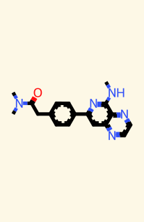 CNc1nc(-c2ccc(CC(=O)N(C)C)cc2)cc2nccnc12